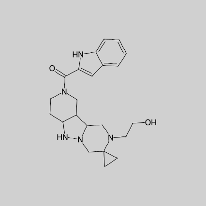 O=C(c1cc2ccccc2[nH]1)N1CCC2NN3CC4(CC4)N(CCO)CC3C2C1